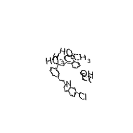 CC(C)(O)c1ccccc1CCC(O)c1cccc(/C=C/c2ccc3ccc(Cl)cc3n2)c1.CCO